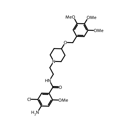 COc1cc(N)c(Cl)cc1C(=O)NCCN1CCC(OCc2cc(OC)c(OC)c(OC)c2)CC1